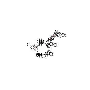 CCOC(=O)CCCNCCC[C@H]1C(=O)N[C@@H](COC)C(=O)N(C)[C@@H](Cc2ccc(Cl)cc2)CC(=O)N[C@H]2CCCC[C@@H]2N(C)C(=O)[C@H](Cc2ccccc2)CC(=O)N1Cc1ccc(Cl)cc1Oc1ccc(-c2cnc(CN(C)C)n2C)cc1